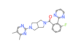 Cc1cnc(N2CC3CN(C(=O)c4cccc(F)c4-c4ncccn4)CC3C2)nc1C